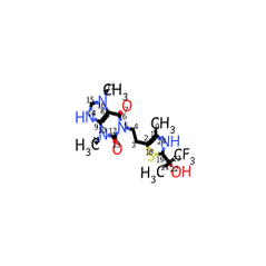 CC1=C(CCn2c(=O)c3c(n(C)c2=O)NCN3C)SC(C(C)(O)C(F)(F)F)N1